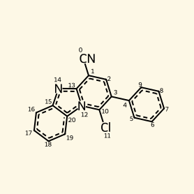 N#Cc1cc(-c2ccccc2)c(Cl)n2c1nc1ccccc12